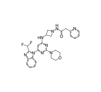 O=C(Cc1ccccn1)NN1CC(Nc2cc(-n3c(C(F)F)nc4ccccc43)nc(N3CCOCC3)n2)C1